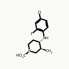 C[C@H]1CN(C(=O)O)CC[C@@H]1Nc1ccc(Cl)cc1F